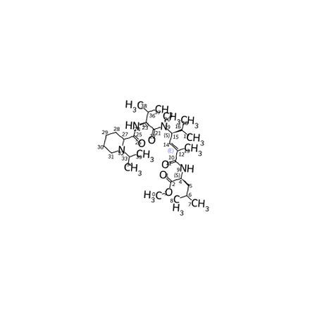 COC(=O)[C@H](CC(C)C)NC(=O)/C(C)=C/[C@H](C(C)C)N(C)C(=O)[C@@H](NC(=O)C1CCCCN1C(C)C)C(C)C